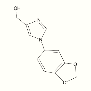 OCc1cn(-c2ccc3c(c2)OCO3)cn1